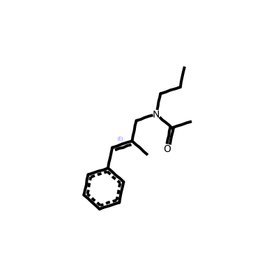 CCCN(C/C(C)=C/c1ccccc1)C(C)=O